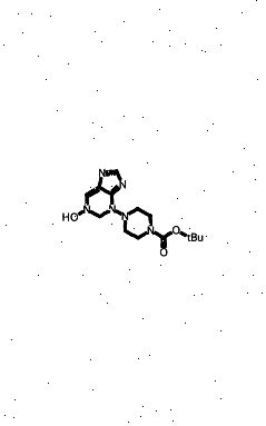 CC(C)(C)OC(=O)N1CCN(N2CN(O)C=C3N=CN=C32)CC1